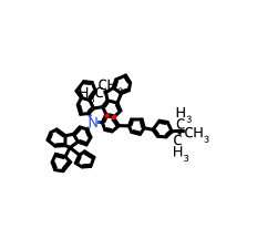 CC(C)(C)c1ccc(-c2ccc(-c3ccc(N(c4ccc5c(c4)-c4ccccc4C5(c4ccccc4)c4ccccc4)c4ccc5ccccc5c4-c4cccc5c4C(C)(C)c4ccccc4-5)cc3)cc2)cc1